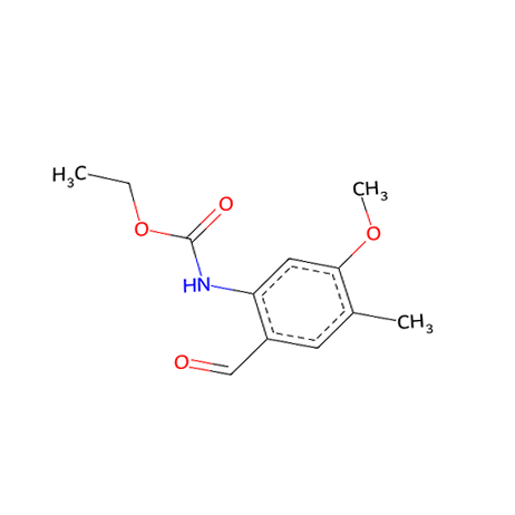 CCOC(=O)Nc1cc(OC)c(C)cc1C=O